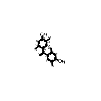 C=C(c1cc(C)c(O)cc1C)c1cc(C)c(O)cc1C